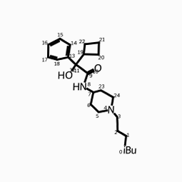 CCC(C)CCCN1CCC(NC(=O)C(O)(c2ccccc2)C2CCC2)CC1